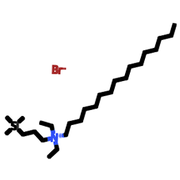 CCCCCCCCCCCCCCCC[N+](CC)(CC)CCC[Si](C)(C)C.[Br-]